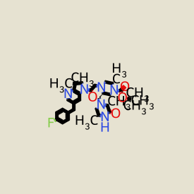 C[C@@H]1C(=O)N[C@@H](C)CN1C[C@H]1CN(C(=O)OC(C)(C)C)[C@H](C)CN1CC(=O)N1CC(C)(C)c2ncc(Cc3ccc(F)cc3)cc21